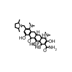 B=C1C(C(N)=O)=C(O)[C@@H](N(C)C)[C@@H]2C[C@@H]3Cc4c(c(O)cc(CN5C(C)CCC5C)c4N(C)C)C(=O)C3=C(O)[C@]12P